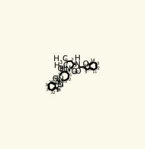 CC(C)CC(NC(=O)c1cc2ccccc2o1)C(=O)N[C@H]1CCCN(S(=O)(=O)c2ccccc2F)CC1=O